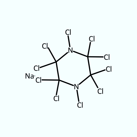 ClN1C(Cl)(Cl)C(Cl)(Cl)N(Cl)C(Cl)(Cl)C1(Cl)Cl.[Na]